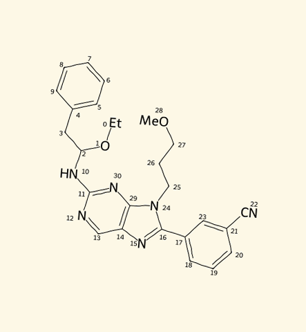 CCOC(Cc1ccccc1)Nc1ncc2nc(-c3cccc(C#N)c3)n(CCCOC)c2n1